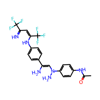 CC(=O)Nc1ccc(N(N)/C=C(\N)c2ccc(N/C(=C\C(=N)C(F)(F)F)C(F)(F)F)cc2)cc1